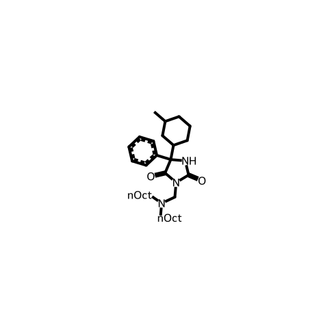 CCCCCCCCN(CCCCCCCC)CN1C(=O)NC(c2ccccc2)(C2CCCC(C)C2)C1=O